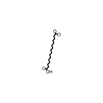 O=C(O)CCCCCCCCCCCCCCC(=O)Cl